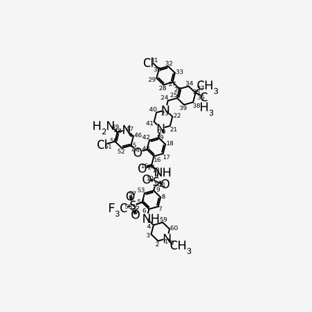 CN1CCC(Nc2ccc(S(=O)(=O)NC(=O)c3ccc(N4CCN(CC5=C(c6ccc(Cl)cc6)CC(C)(C)CC5)CC4)cc3Oc3cnc(N)c(Cl)c3)cc2S(=O)(=O)C(F)(F)F)CC1